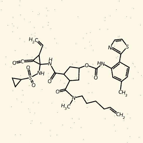 C=CCCCCN(C)C(=O)C1CC(OC(=O)Nc2cc(C)ccc2-c2nccs2)CC1C(=O)NC1(NS(=O)(=O)C2CC2)C(=C=O)C1C=C